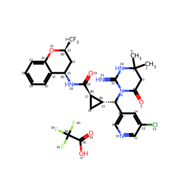 CC1(C)CC(=O)N(C(c2cncc(Cl)c2)[C@@H]2C[C@H]2C(=O)N[C@@H]2C[C@H](C(F)(F)F)Oc3ccccc32)C(=N)N1.O=C(O)C(F)(F)F